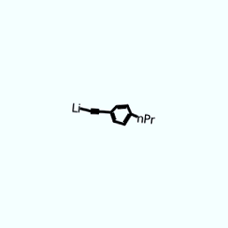 [Li][C]#Cc1ccc(CCC)cc1